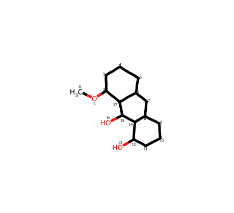 COC1CCCC2CC3CCCC(O)C3C(O)C21